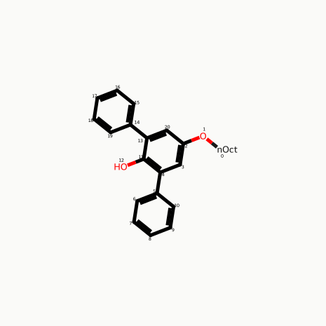 CCCCCCCCOc1cc(-c2ccccc2)c(O)c(-c2ccccc2)c1